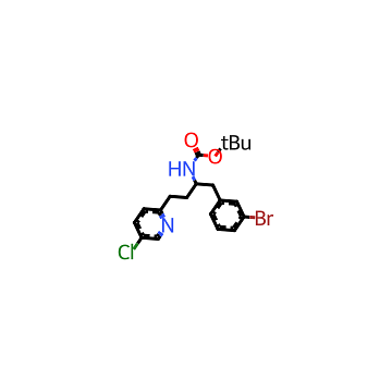 CC(C)(C)OC(=O)NC(CCc1ccc(Cl)cn1)Cc1cccc(Br)c1